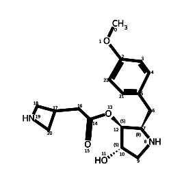 COc1ccc(C[C@H]2NC[C@H](O)[C@H]2OC(=O)CC2CNC2)cc1